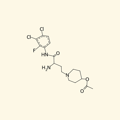 CC(=O)OC1CCN(CCC(N)C(=O)Nc2ccc(Cl)c(Cl)c2F)CC1